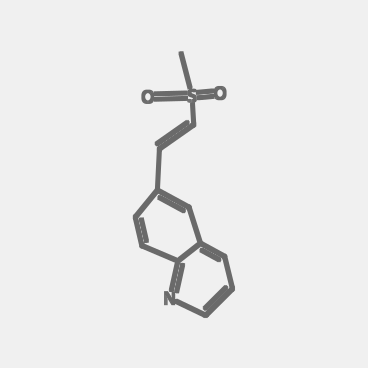 CS(=O)(=O)C=Cc1ccc2ncccc2c1